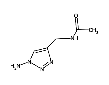 CC(=O)NCc1cn(N)nn1